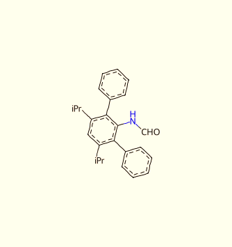 CC(C)c1cc(C(C)C)c(-c2ccccc2)c(NC=O)c1-c1ccccc1